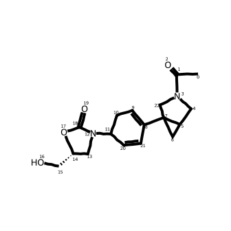 CC(=O)N1CC2CC2(C2=CCC(N3C[C@H](CO)OC3=O)C=C2)C1